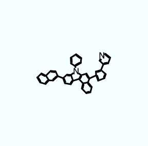 c1ccc(-n2c3cc(-c4ccc5ccccc5c4)ccc3c3c4ccccc4c(-c4cccc(-c5cccnc5)c4)cc32)cc1